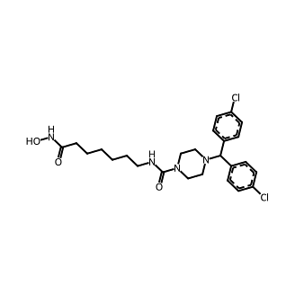 O=C(CCCCCCNC(=O)N1CCN(C(c2ccc(Cl)cc2)c2ccc(Cl)cc2)CC1)NO